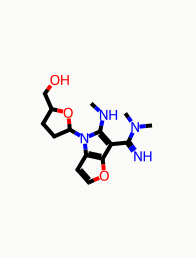 CNc1c(C(=N)N(C)C)c2occc2n1C1CCC(CO)O1